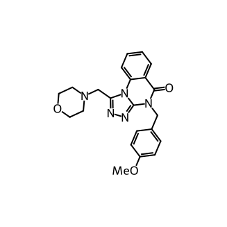 COc1ccc(Cn2c(=O)c3ccccc3n3c(CN4CCOCC4)nnc23)cc1